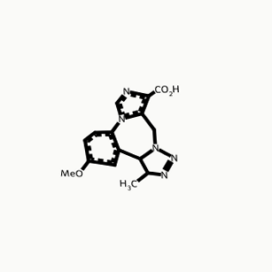 COc1ccc2c(c1)C1C(C)N=NN1Cc1c(C(=O)O)ncn1-2